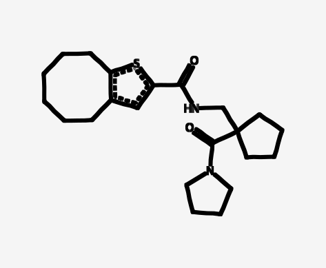 O=C(NCC1(C(=O)N2CCCC2)CCCC1)c1cc2c(s1)CCCCCC2